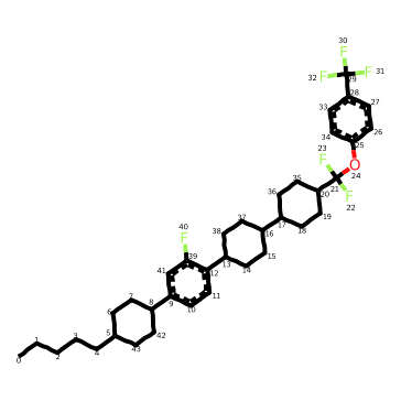 CCCCCC1CCC(c2ccc(C3CCC(C4CCC(C(F)(F)Oc5ccc(C(F)(F)F)cc5)CC4)CC3)c(F)c2)CC1